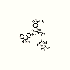 Nc1noc2ccc(-n3nc(C(F)(F)F)cc3C(=O)Nc3ccc(-c4ccccc4S(N)(=O)=O)cn3)cc12.O=C(O)C(F)(F)F.O=C(O)C(F)(F)F